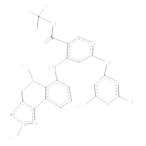 [2H]C([2H])([2H])NC(=O)c1cnc(Nc2cc(C)nc(C)n2)cc1Nc1cccc2c1N(C)Cc1cn(C)nc1-2